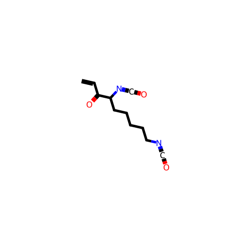 C=CC(=O)C(CCCCCN=C=O)N=C=O